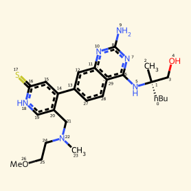 CCCC[C@](C)(CO)Nc1nc(N)nc2cc(-c3cc(=S)[nH]cc3CN(C)CCOC)ccc12